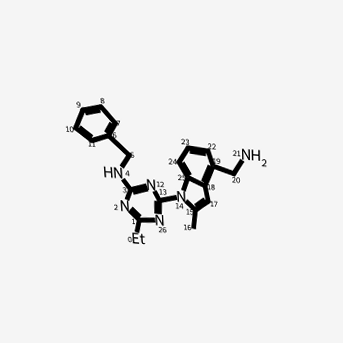 CCc1nc(NCc2ccccc2)nc(-n2c(C)cc3c(CN)cccc32)n1